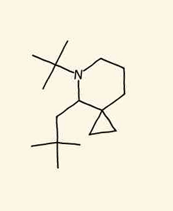 CC(C)(C)CC1N(C(C)(C)C)CCCC12CC2